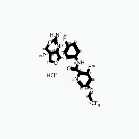 Cl.NC1=N[C@@]2(c3cc(NC(=O)c4ncc(OCC(F)(F)F)cc4F)ccc3F)COC[C@@]2(F)CO1